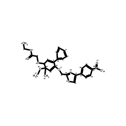 CCOC(=O)COC1C=C(c2ccccc2)C(OCc2nc(-c3ccc([N+](=O)[O-])cc3)cs2)=CC1(C)OC